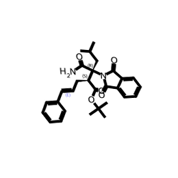 CC(C)C[C@](C(N)=O)([C@H](C/C=C/c1ccccc1)C(=O)OC(C)(C)C)N1C(=O)c2ccccc2C1=O